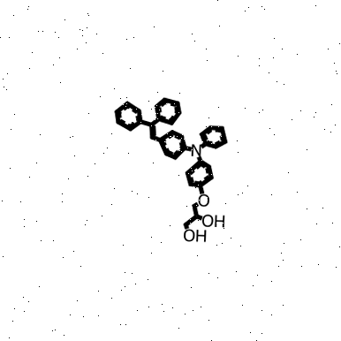 OCC(O)COc1ccc(N(c2ccccc2)c2ccc(C=C(c3ccccc3)c3ccccc3)cc2)cc1